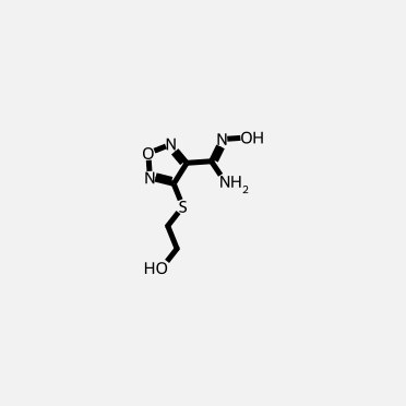 N/C(=N\O)c1nonc1SCCO